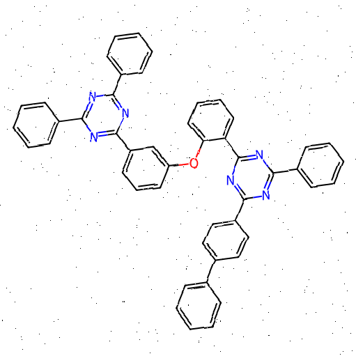 c1ccc(-c2ccc(-c3nc(-c4ccccc4)nc(-c4ccccc4Oc4cccc(-c5nc(-c6ccccc6)nc(-c6ccccc6)n5)c4)n3)cc2)cc1